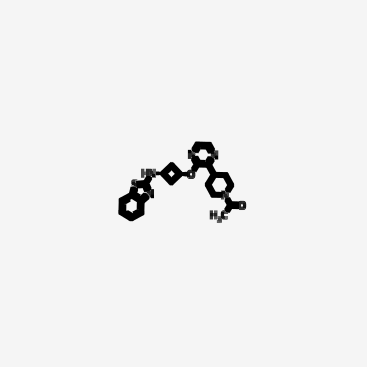 CC(=O)N1CCC(c2nccnc2O[C@H]2C[C@H](Nc3nc4ccccc4s3)C2)CC1